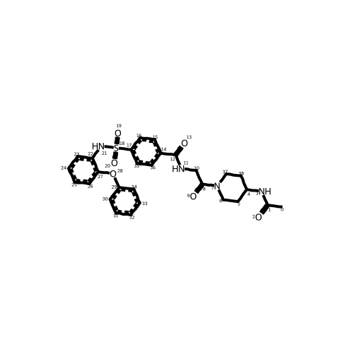 CC(=O)NC1CCN(C(=O)CNC(=O)c2ccc(S(=O)(=O)Nc3ccccc3Oc3ccccc3)cc2)CC1